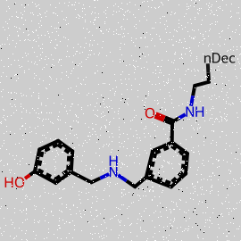 CCCCCCCCCCCCNC(=O)c1cccc(CNCc2cccc(O)c2)c1